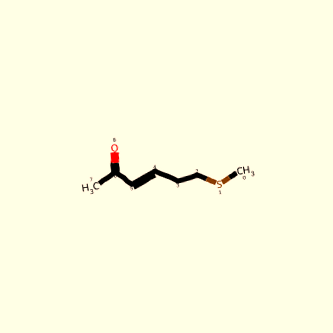 CSCCC=CC(C)=O